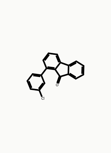 O=C1c2ccccc2-c2cccc(-c3cccc(Cl)c3)c21